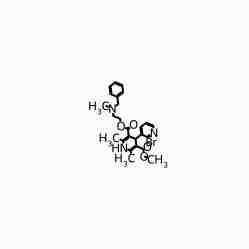 COC(=O)C1=C(C)NC(C)=C(C(=O)OCCN(C)Cc2ccccc2)C1c1cccnc1Br